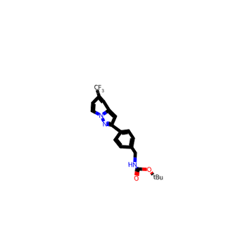 CC(C)(C)OC(=O)NCc1ccc(-c2cc3cc(C(F)(F)F)ccn3n2)cc1